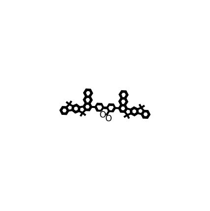 CC1(C)c2ccccc2-c2cc3c(cc21)-c1c(cc(C2=CC4OC(=O)C5C=C(c6cc7c(c8cc9ccccc9cc68)-c6cc8c(cc6C7(C)C)-c6ccccc6C8(C)C)C=CC5=C4C=C2)c2cc4ccccc4cc12)C3(C)C